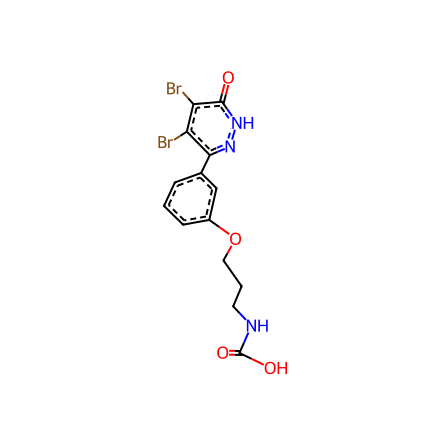 O=C(O)NCCCOc1cccc(-c2n[nH]c(=O)c(Br)c2Br)c1